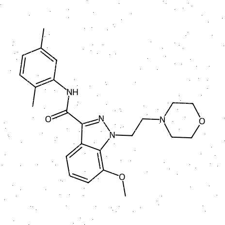 COc1cccc2c(C(=O)Nc3cc(C)ccc3C)nn(CCN3CCOCC3)c12